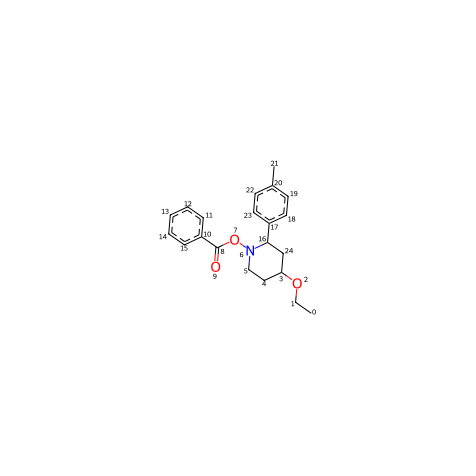 CCOC1CCN(OC(=O)c2ccccc2)C(c2ccc(C)cc2)C1